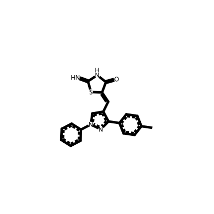 Cc1ccc(-c2nn(-c3ccccc3)cc2/C=C2\SC(=N)NC2=O)cc1